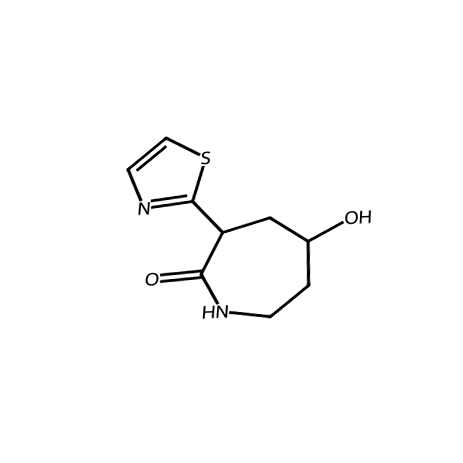 O=C1NCCC(O)CC1c1nccs1